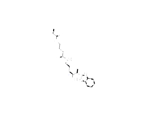 C=CC(=O)OCCCC(=O)N/C=C/C=C(/O)C(=C)n1nc2ccccc2n1